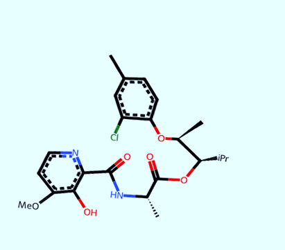 COc1ccnc(C(=O)N[C@@H](C)C(=O)O[C@H](C(C)C)[C@H](C)Oc2ccc(C)cc2Cl)c1O